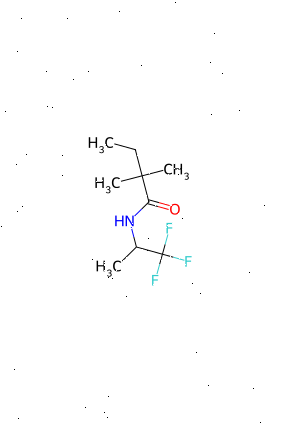 CCC(C)(C)C(=O)NC(C)C(F)(F)F